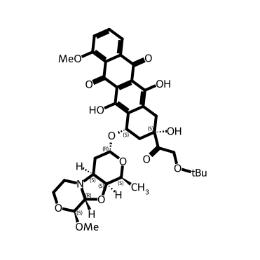 COc1cccc2c1C(=O)c1c(O)c3c(c(O)c1C2=O)C[C@@](O)(C(=O)COC(C)(C)C)C[C@@H]3O[C@H]1C[C@H]2[C@H](O[C@@H]3[C@@H](OC)OCCN32)[C@H](C)O1